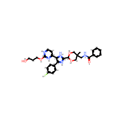 CC1(CNC(=O)c2ccccc2)COC(c2nc(-c3ccc(F)cc3)c(-c3ccnc(OCCCO)n3)[nH]2)OC1